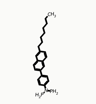 CCCCCCCCc1ccc2cc(-c3ccc(N(P)P)cc3)ccc2c1